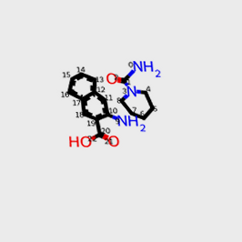 NC(=O)N1CCCCC1.Nc1cc2ccccc2cc1C(=O)O